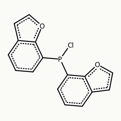 ClP(c1cccc2ccoc12)c1cccc2ccoc12